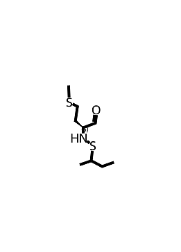 CCC(C)SN[C@H](C=O)CCSC